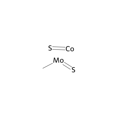 [CH3][Mo]=[S].[S]=[Co]